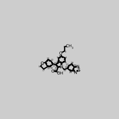 CCCOc1ccc2c(c1)c(-c1ccc3c(c1)CCO3)c(C(=O)O)n2Cc1ccc2nsnc2c1